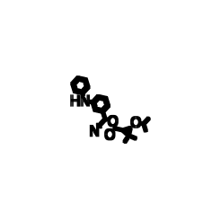 CC(C)OC1C(C(=O)OC(C#N)c2cccc(Nc3ccccc3)c2)C1(C)C